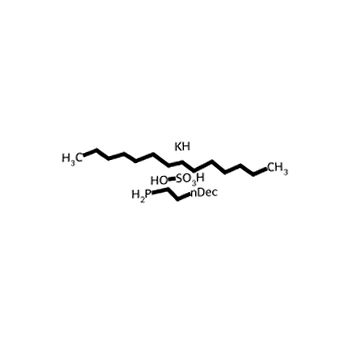 CCCCCCCCCCCCCC.CCCCCCCCCCCCP.O=S(=O)(O)O.[KH]